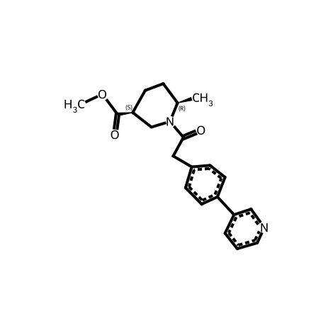 COC(=O)[C@H]1CC[C@@H](C)N(C(=O)Cc2ccc(-c3cccnc3)cc2)C1